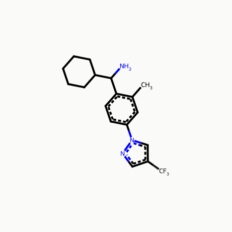 Cc1cc(-n2cc(C(F)(F)F)cn2)ccc1C(N)C1CCCCC1